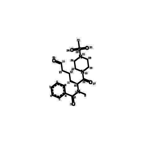 CN(C(=O)c1ccccc1)[C@@H](CCCC=O)C(=O)N1CCN(S(C)(=O)=O)CC1